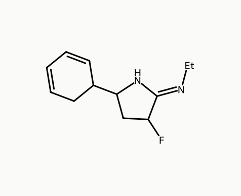 CC/N=C1\NC(C2C=CC=CC2)CC1F